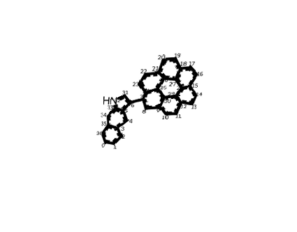 c1ccc2cc3c(-c4cc5ccc6ccc7ccc8ccc9ccc4c4c9c8c7c6c54)c[nH]c3cc2c1